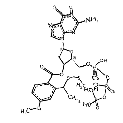 COc1ccc(C(=O)OC2C[C@H](n3cnc4c(=O)[nH]c(N)nc43)O[C@@H]2COP(=O)(O)OP(=O)(O)OP(=O)(O)O)c(C(C)SSC)c1